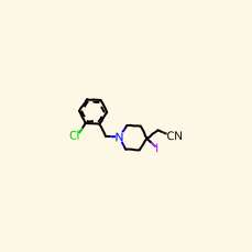 N#CCC1(I)CCN(Cc2ccccc2Cl)CC1